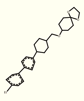 CCc1ccc(-c2ccc(C3CCC(COC4CCC5(CC4)OCCO5)CC3)cc2)cc1